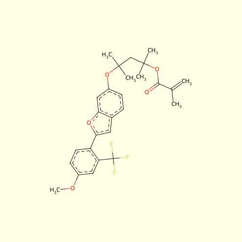 C=C(C)C(=O)OC(C)(C)CC(C)(C)Oc1ccc2cc(-c3ccc(OC)cc3C(F)(F)F)oc2c1